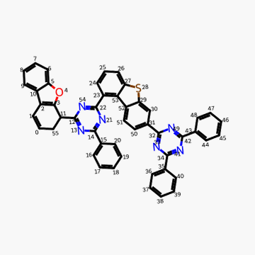 C1=Cc2c(oc3ccccc23)C(c2nc(-c3ccccc3)nc(-c3cccc4sc5cc(-c6nc(-c7ccccc7)nc(-c7ccccc7)n6)ccc5c34)n2)C1